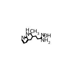 CC1Nc2ncccc2CC1CCC(N)=NO